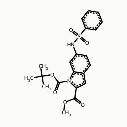 COC(=O)c1cc2ccc(NS(=O)(=O)c3ccccc3)cc2n1C(=O)OC(C)(C)C